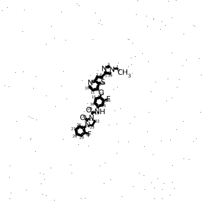 CCn1cnc(-c2cc3nccc(Oc4ccc(NC(=O)N5CCN(c6ccccc6F)C5=O)cc4F)c3s2)c1